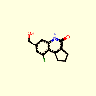 O=c1[nH]c2cc(CO)cc(F)c2c2c1CCC2